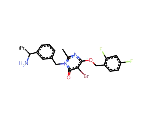 Cc1nc(OCc2ccc(F)cc2F)c(Br)c(=O)n1Cc1cccc(C(N)C(C)C)c1